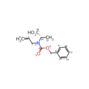 C=CCN(C(=O)OCc1ccccc1)[C@@H](C)C(=O)O